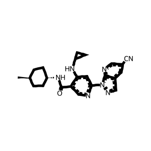 C[C@H]1CC[C@H](NC(=O)c2cnc(-n3ncc4cc(C#N)cnc43)cc2NC2CC2)CC1